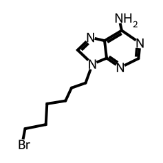 Nc1ncnc2c1ncn2CCCCCCBr